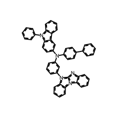 c1ccc(-c2ccc(N(c3cccc(-n4c5ccccc5n5c6ccccc6nc45)c3)c3ccc4c(c3)c3ccccc3n4-c3ccccc3)cc2)cc1